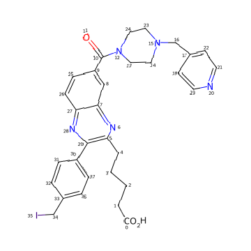 O=C(O)CCCCc1nc2cc(C(=O)N3CCN(Cc4ccncc4)CC3)ccc2nc1-c1ccc(CI)cc1